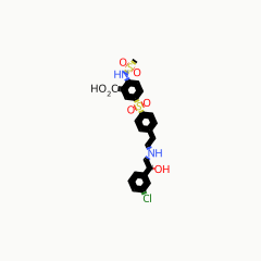 CS(=O)(=O)Nc1ccc(S(=O)(=O)c2ccc(CCNC[C@H](O)c3cccc(Cl)c3)cc2)cc1C(=O)O